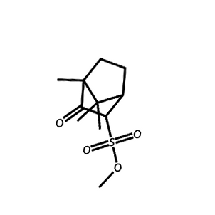 COS(=O)(=O)C1C(=O)C2(C)CCC1C2(C)C